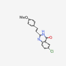 COc1ccc(C=Cc2nc3ccc(Cl)cc3c(=O)[nH]2)cc1